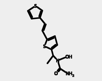 CC(c1ccc(C=Cc2ccsc2)s1)N(O)C(N)=O